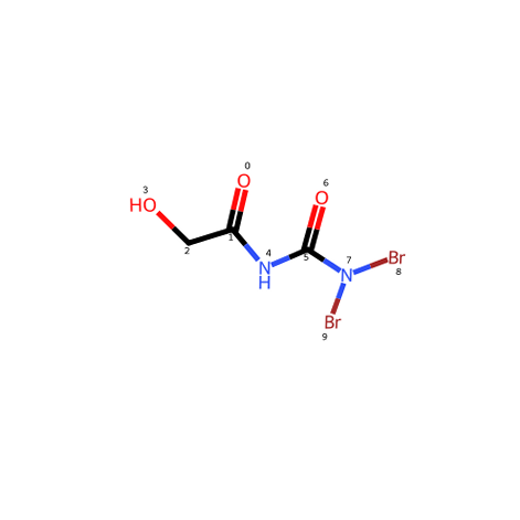 O=C(CO)NC(=O)N(Br)Br